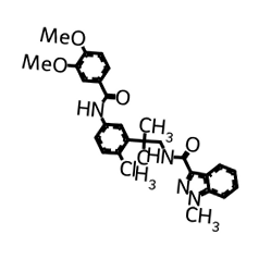 COc1ccc(C(=O)Nc2ccc(Cl)c(C(C)(C)CNC(=O)c3nn(C)c4ccccc34)c2)cc1OC